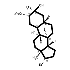 CC[C@H]1CC[C@H]2[C@@H]3CC[C@H]4C[C@](C)(O)[C@@H](OC)C[C@@H]4[C@H]3CC[C@]12C